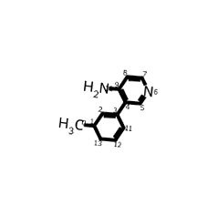 CC1C=C(c2cnccc2N)C=CC1